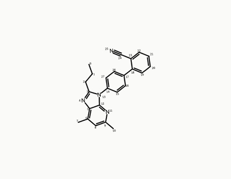 CCCc1nc2c(C)cc(C)nc2n1-c1ccc(-c2ccccc2C#N)cc1